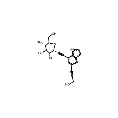 OCC#Cc1cc(C#C[C@H]2O[C@H](CO)[C@@H](O)[C@H](O)[C@@H]2O)c2[nH]ncc2c1